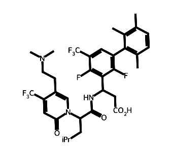 Cc1ccc(C)c(-c2cc(C(F)(F)F)c(F)c(C(CC(=O)O)NC(=O)C(CC(C)C)n3cc(CCN(C)C)c(C(F)(F)F)cc3=O)c2F)c1C